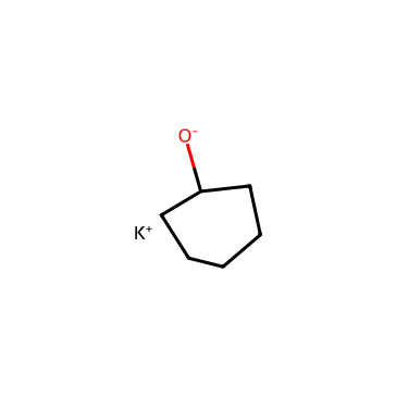 [K+].[O-]C1CCCCC1